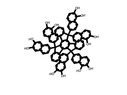 Oc1cc2ccc(C3(c4ccc5c(O)c(O)ccc5c4)c4ccccc4-c4c3c3c(c5c4C(c4ccc6cc(O)c(O)cc6c4)(c4ccc6c(O)c(O)ccc6c4)c4ccccc4-5)C(c4ccc5c(O)c(O)ccc5c4)(c4ccc5c(O)c(O)ccc5c4)c4ccccc4-3)cc2cc1O